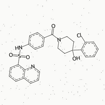 O=C(c1ccc(NS(=O)(=O)c2cccc3cccnc23)cc1)N1CCC(O)(c2ccccc2Cl)CC1